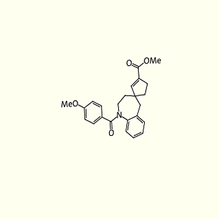 COC(=O)C1=CC2(CC1)CCN(C(=O)c1ccc(OC)cc1)c1ccccc1C2